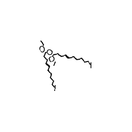 CCOC(CCC=CCCCCCI)OC(CCC=CCCCCCI)OCC